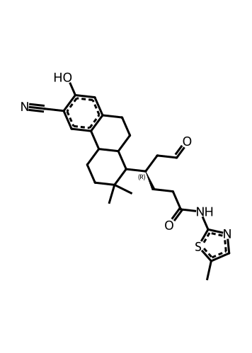 Cc1cnc(NC(=O)CC[C@H](CC=O)C2C3CCc4cc(O)c(C#N)cc4C3CCC2(C)C)s1